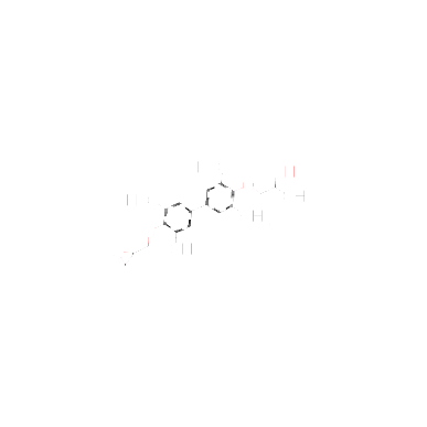 Cc1cc(-c2cc(C)c(OCC3CO3)c(C)c2)cc(C)c1OCC(C)O